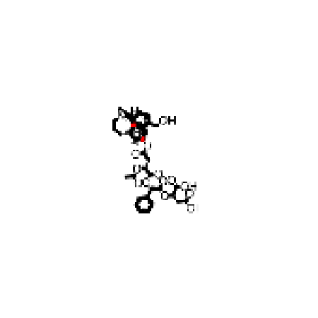 CC(=O)O[C@@H](CC(=O)OC1=CC[C@@]2(O)[C@H]3Cc4ccc(CO)c5c4[C@@]2(CCCN3C)[C@H]1O5)C(=O)O[C@H](C(=O)O[C@H](CC(=O)O)C(=O)O)c1ccccc1